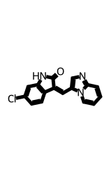 O=C1Nc2cc(Cl)ccc2C1=Cc1cnc2ccccn12